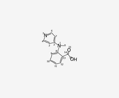 CN(c1ccncc1)c1ccccc1C(=O)O